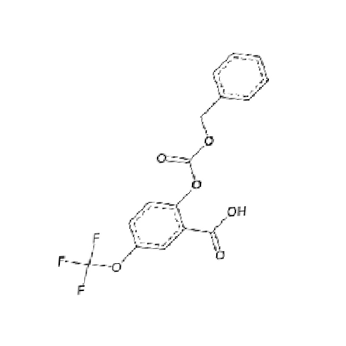 O=C(OCc1ccccc1)Oc1ccc(OC(F)(F)F)cc1C(=O)O